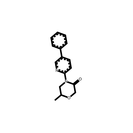 CC1CN(c2ccc(-c3ccccc3)cn2)C(=O)CO1